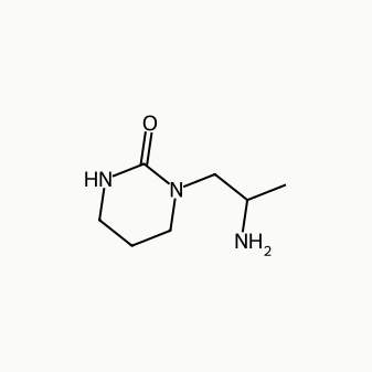 CC(N)CN1CCCNC1=O